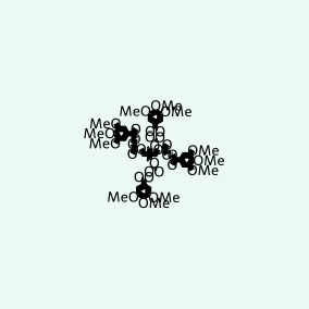 COc1cc(C(=O)OOC(=O)OCC(COC(=O)OOC(=O)c2cc(OC)c(OC)c(OC)c2)(COC(=O)OOC(=O)c2cc(OC)c(OC)c(OC)c2)COC(=O)OOC(=O)c2cc(OC)c(OC)c(OC)c2)cc(OC)c1OC